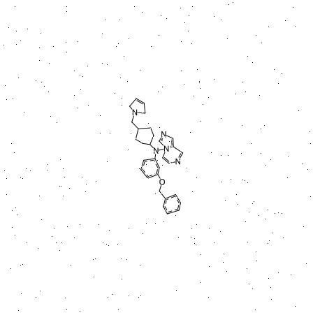 C1=CCN(CC2CCC(N(c3cccc(OCc4ccccc4)c3)[N+]34C=CN=CC3=CN=C4)CC2)C1